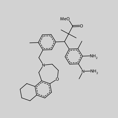 COC(=O)C(C)(C)C(c1ccc(C)c(CN2CCOc3ccc4c(c3C2)CCCC4)c1)c1ccc(N(C)N)c(N)c1C